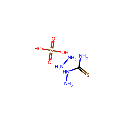 NN.NNC(N)=S.O=S(=O)(O)O